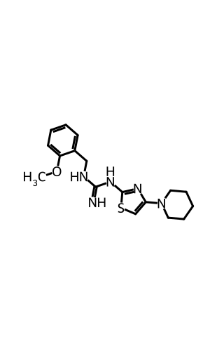 COc1ccccc1CNC(=N)Nc1nc(N2CCCCC2)cs1